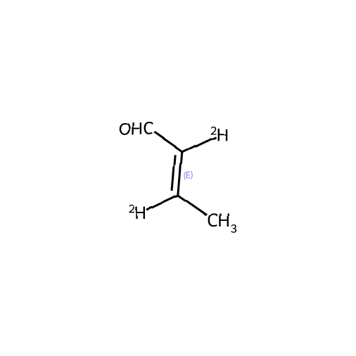 [2H]/C(C)=C(/[2H])C=O